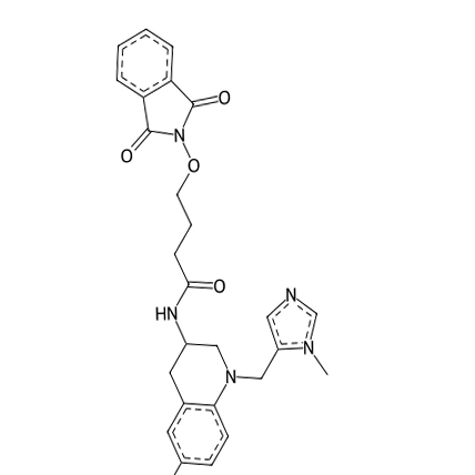 Cn1cncc1CN1CC(NC(=O)CCCON2C(=O)c3ccccc3C2=O)Cc2cc(C#N)ccc21